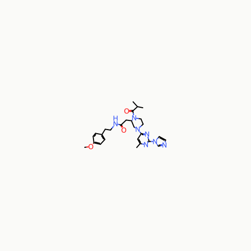 COc1ccc(CCNC(=O)CC2CN(c3cc(C)nc(-n4ccnc4)n3)CCN2C(=O)C(C)C)cc1